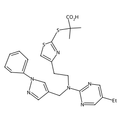 CCc1cnc(N(CCc2csc(SC(C)(C)C(=O)O)n2)Cc2cnn(-c3ccccc3)c2)nc1